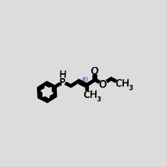 CCOC(=O)/C(C)=C/CPc1ccccc1